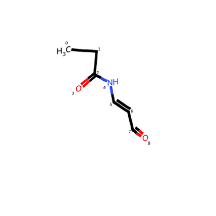 CCC(=O)NC=C[C]=O